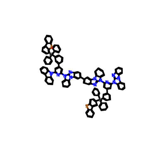 c1ccc([Si](c2ccccc2)(c2cccc(-c3cc(-n4c5ccccc5n5c6ccccc6nc45)nc(-n4c5ccccc5n5c6cc(-c7ccc8nc9n(-c%10cc(-c%11cccc([Si](c%12ccccc%12)(c%12ccccc%12)c%12cccc%13c%12sc%12ccccc%12%13)c%11)cc(-n%11c%12ccccc%12c%12ccccc%12%11)n%10)c%10ccccc%10n9c8c7)ccc6nc45)c3)c2)c2ccc3sc4ccccc4c3c2)cc1